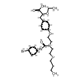 CCCCSCCN(CCOc1ccc(CC(OCC)C(=O)O)cc1)C(=O)Nc1ccc(Br)cc1